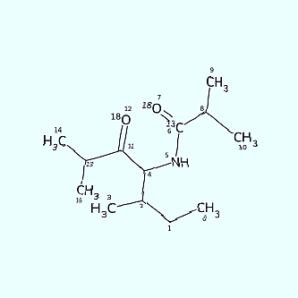 CCC(C)C(N[13C](=[18O])C(C)C)C(=[18O])C(C)C